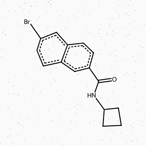 O=C(NC1CCC1)c1ccc2cc(Br)ccc2c1